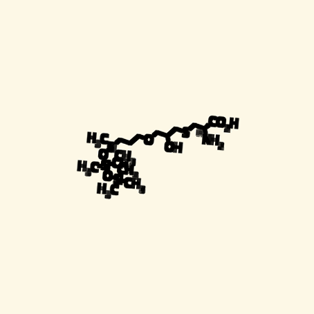 C[Si](C)(C)O[Si](C)(C)O[Si](C)(C)CCCOCC(O)CSC[C@H](N)C(=O)O